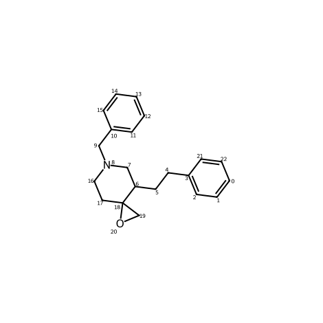 c1ccc(CCC2CN(Cc3ccccc3)CCC23CO3)cc1